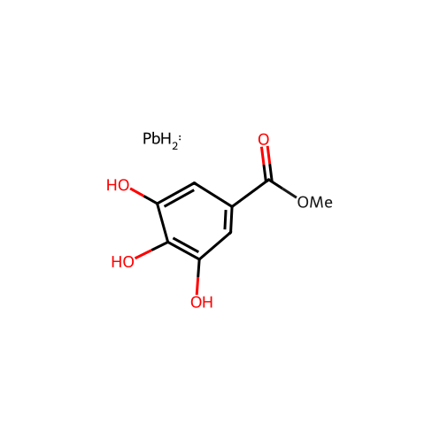 COC(=O)c1cc(O)c(O)c(O)c1.[PbH2]